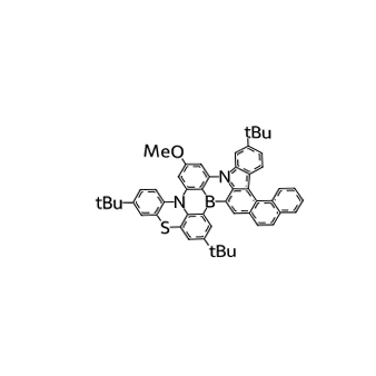 COc1cc2c3c(c1)-n1c4cc(C(C)(C)C)ccc4c4c5c(ccc6ccccc65)cc(c41)B3c1cc(C(C)(C)C)cc3c1N2c1ccc(C(C)(C)C)cc1S3